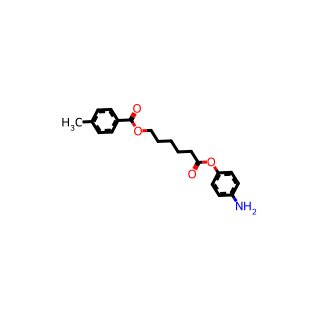 Cc1ccc(C(=O)OCCCCCC(=O)Oc2ccc(N)cc2)cc1